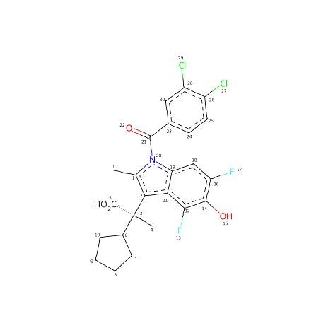 Cc1c([C@](C)(C(=O)O)C2CCCC2)c2c(F)c(O)c(F)cc2n1C(=O)c1ccc(Cl)c(Cl)c1